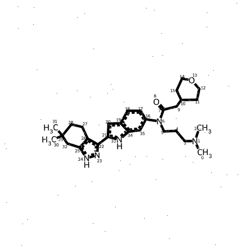 CN(C)CCCN(C(=O)CC1CCOCC1)c1ccc2cc(-c3n[nH]c4c3CCC(C)(C)C4)[nH]c2c1